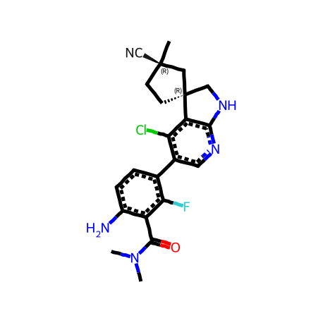 CN(C)C(=O)c1c(N)ccc(-c2cnc3c(c2Cl)[C@]2(CC[C@@](C)(C#N)C2)CN3)c1F